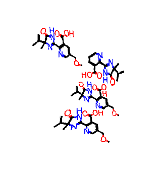 CC(C)C1(C)N=C(c2ncccc2C(=O)O)NC1=O.COCc1cnc(C2=NC(C)(C(C)C)C(=O)N2)c(C(=O)O)c1.COCc1cnc(C2=NC(C)(C(C)C)C(=O)N2)c(C(=O)O)c1.COCc1cnc(C2=NC(C)(C(C)C)C(=O)N2)c(C(=O)O)c1